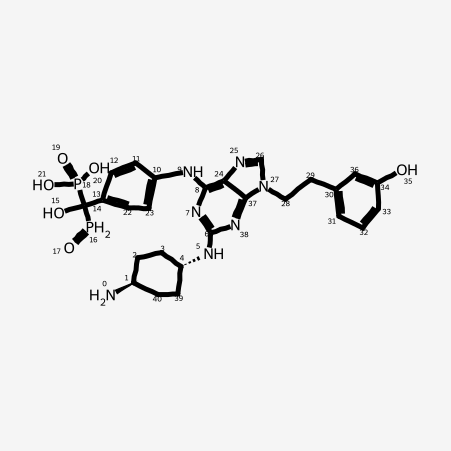 N[C@H]1CC[C@H](Nc2nc(Nc3ccc(C(O)([PH2]=O)P(=O)(O)O)cc3)c3ncn(CCc4cccc(O)c4)c3n2)CC1